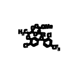 CCN(OC(=O)C(C)Oc1cc(Oc2ccc(C(F)(F)F)cc2Cl)ccc1Cl)C(=O)OC